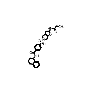 C=CC(=O)Nc1cc2c(o1)CN(S(=O)(=O)c1ccc(C(=O)NC3CCCc4ccccc43)cc1)C2